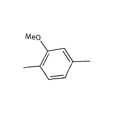 [CH2]c1ccc(C)c(OC)c1